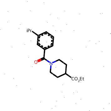 CCOC(=O)C1CCN(C(=O)c2cccc(C(C)C)c2)CC1